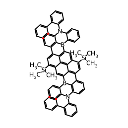 C[Si](C)(C)c1cc2c3c(cc4c([Si](C)(C)C)cc5c6c(cc1c3c46)B1c3ccccc3N(c3ccccc3-c3ccccc3)c3cccc-5c31)B1c3ccccc3N(c3ccccc3-c3ccccc3)c3cccc-2c31